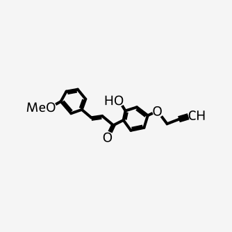 C#CCOc1ccc(C(=O)C=Cc2cccc(OC)c2)c(O)c1